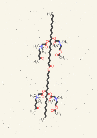 CCCCCCCCCC(OC(=O)C[N+](C)(C)CCOC(C)=O)C(CCCCCCCCC(=O)OCCCCCCCC(OC(=O)C[N+](C)(C)CCCC(C)=O)C(CCCCCCCCC)OC(=O)C[N+](C)(C)CCOC(C)=O)OC(=O)C[N+](C)(C)CCCC(C)=O